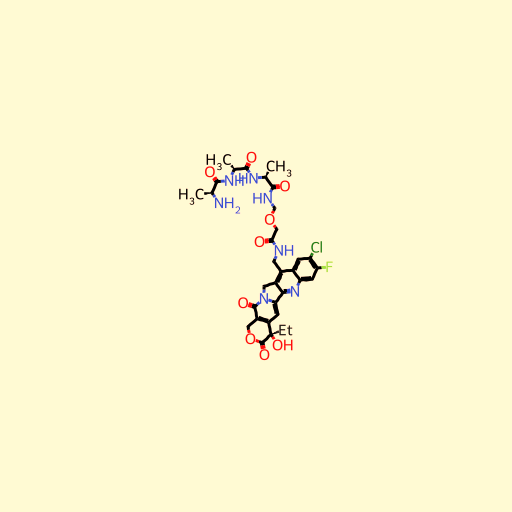 CC[C@@]1(O)C(=O)OCc2c1cc1n(c2=O)Cc2c-1nc1cc(F)c(Cl)cc1c2CNC(=O)COCNC(=O)[C@H](C)NC(=O)[C@H](C)NC(=O)[C@H](C)N